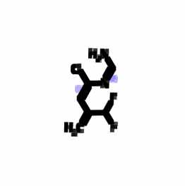 C=C(/C=C(Cl)\N=C/N)C(F)F